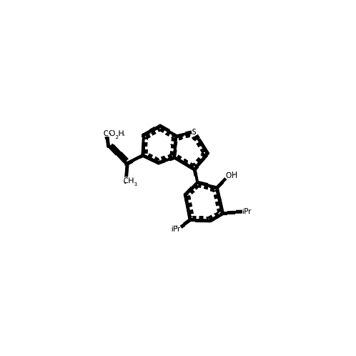 C/C(=C/C(=O)O)c1ccc2scc(-c3cc(C(C)C)cc(C(C)C)c3O)c2c1